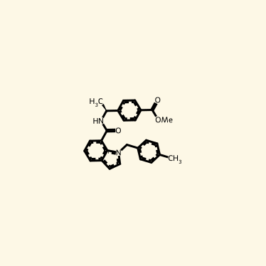 COC(=O)c1ccc([C@H](C)NC(=O)c2cccc3ccn(Cc4ccc(C)cc4)c23)cc1